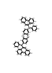 c1ccc(C(c2ccc3c(c2)Oc2ccc(N(c4ccccc4)c4cc5ccccc5c5ccccc45)cc2O3)c2cc3ccccc3c3ccccc23)cc1